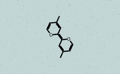 CC1=CC(=C2C=C(C)C=CO2)OC=C1